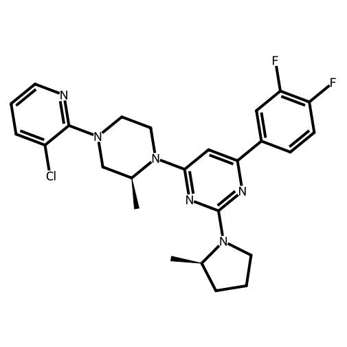 C[C@@H]1CCCN1c1nc(-c2ccc(F)c(F)c2)cc(N2CCN(c3ncccc3Cl)C[C@@H]2C)n1